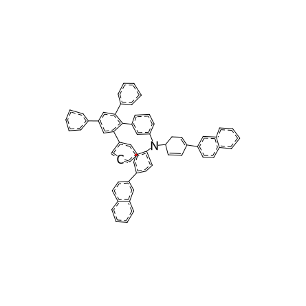 C1=CC(N(c2ccc(-c3ccc4ccccc4c3)cc2)c2cccc(-c3c(-c4ccccc4)cc(-c4ccccc4)cc3-c3ccccc3)c2)CC=C1c1ccc2ccccc2c1